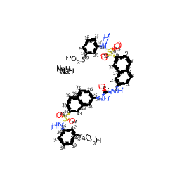 O=C(Nc1ccc2ccc(S(=O)(=O)Nc3cccc(S(=O)(=O)O)c3)cc2c1)Nc1ccc2ccc(S(=O)(=O)Nc3cccc(S(=O)(=O)O)c3)cc2c1.[NaH].[NaH]